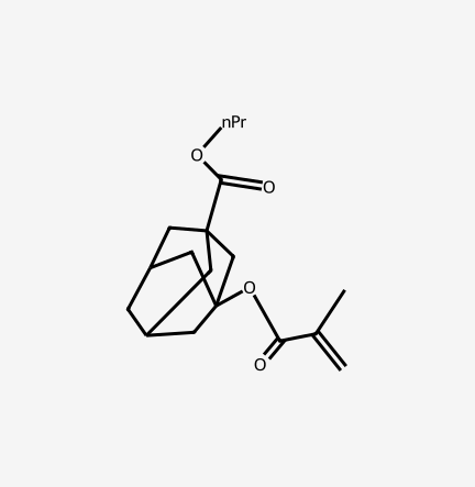 C=C(C)C(=O)OC12CC3CC(C1)CC(C(=O)OCCC)(C3)C2